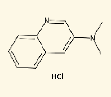 CN(C)c1cnc2ccccc2c1.Cl